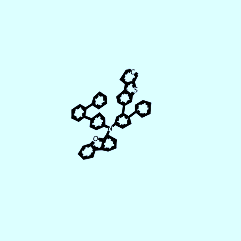 c1ccc(-c2ccccc2-c2ccc(N(c3ccc(-c4ccccc4)c(-c4ccc5c(c4)sc4ccccc45)c3)c3cccc4c3oc3ccccc34)cc2)cc1